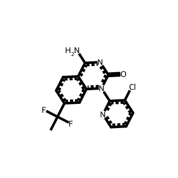 CC(F)(F)c1ccc2c(N)nc(=O)n(-c3ncccc3Cl)c2c1